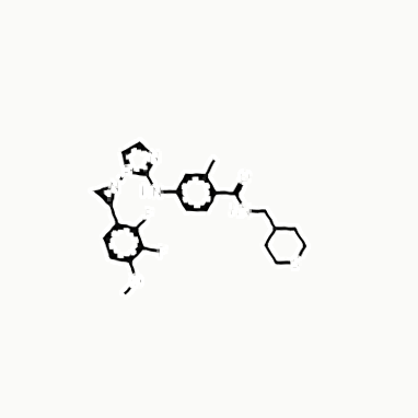 COc1ccc(C2=CN2p2ccnc2Nc2ccc(C(=O)NCC3CCSCC3)c(C)c2)c(F)c1F